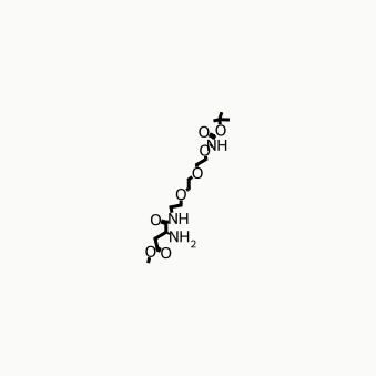 COC(=O)C[C@H](N)C(=O)NCCOCCOCCONC(=O)OC(C)(C)C